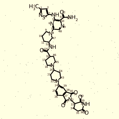 Cc1cc(Nc2nc(N3CCCC(NC(=O)C4CCN(C5CCN(c6ccc7c(c6)C(=O)N(C6CCC(=O)NC6=O)C7=O)CC5)CC4)C3)cnc2C(N)=O)sn1